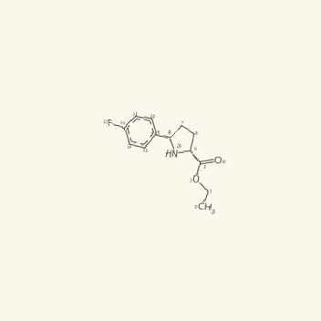 CCOC(=O)C1CCC(c2ccc(F)cc2)N1